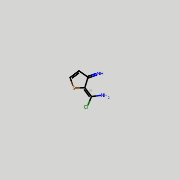 N=C1C=CS/C1=C(/N)Cl